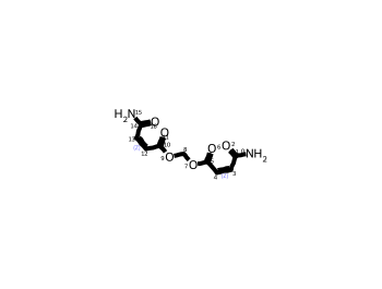 NC(=O)/C=C\C(=O)OCOC(=O)/C=C\C(N)=O